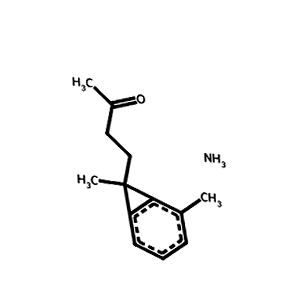 CC(=O)CCC1(C)c2cccc(C)c21.N